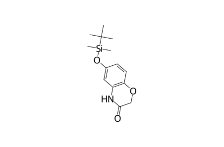 CC(C)(C)[Si](C)(C)Oc1ccc2c(c1)NC(=O)CO2